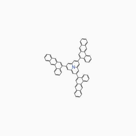 C1=C(c2cc3cc4ccccc4cc3c3ccccc23)C=C2C=C(c3cc4cc5ccccc5cc4c4ccccc34)C=C3C=C(c4cc5cc6ccccc6cc5c5ccccc45)C=C1N23